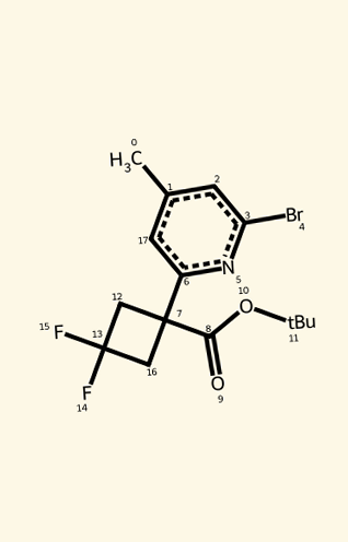 Cc1cc(Br)nc(C2(C(=O)OC(C)(C)C)CC(F)(F)C2)c1